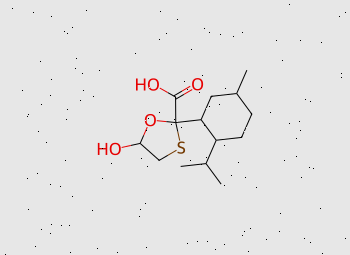 CC1CCC(C(C)C)C(C2(C(=O)O)OC(O)CS2)C1